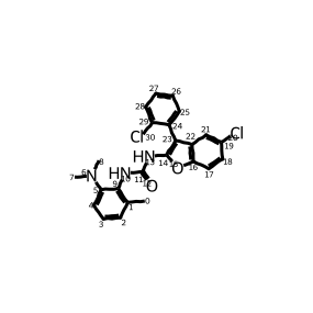 Cc1cccc(N(C)C)c1NC(=O)Nc1oc2ccc(Cl)cc2c1-c1ccccc1Cl